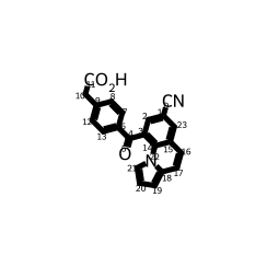 N#Cc1cc(C(=O)c2ccc(CC(=O)O)cc2)c2c(ccc3cccn32)c1